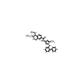 Cc1cc(NC(=O)c2ccc3c(c2)CCN(C(=O)O)C3CC(C)C)nn1Cc1ccccc1-c1ccccc1